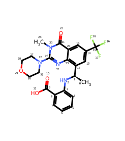 C[C@@H](Nc1ccccc1C(=O)O)c1cc(C(F)(F)F)cc2c(=O)n(C)c(N3CCOCC3)nc12